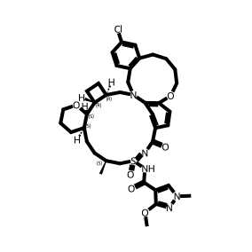 COc1nn(C)cc1C(=O)NS1(=O)=NC(=O)c2ccc3c(c2)N(Cc2ccc(Cl)cc2CCCCO3)C[C@@H]2CC[C@H]2[C@H]2OCCC[C@@H]2CC[C@H](C)C1